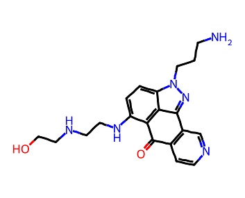 NCCCn1nc2c3c(c(NCCNCCO)ccc31)C(=O)c1ccncc1-2